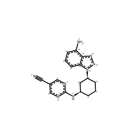 N#Cc1cnc(N[C@@H]2CCC[C@H](n3nnc4c(N)cccc43)C2)nc1